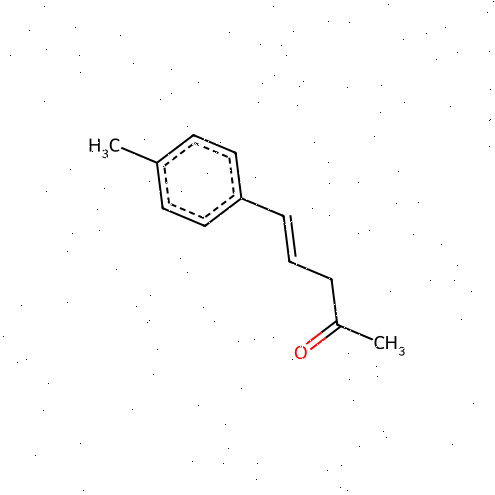 CC(=O)C/C=C/c1ccc(C)cc1